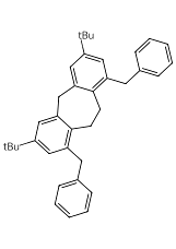 CC(C)(C)c1cc(Cc2ccccc2)c2c(c1)Cc1cc(C(C)(C)C)cc(Cc3ccccc3)c1CC2